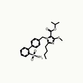 CCCCc1nc(SC)c(C(=O)OC(C)C)n1Cc1ccc(-c2ccccc2S(N)(=O)=O)cc1